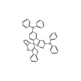 c1ccc(N(c2ccccc2)c2ccc3c(c2)-c2cc(N(c4ccccc4)c4ccccc4)ccc2C32c3ccccc3Oc3c2ccc2ccccc32)cc1